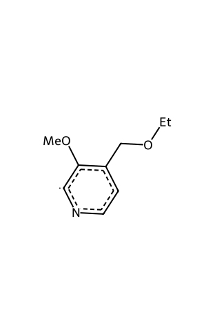 CCOCc1ccn[c]c1OC